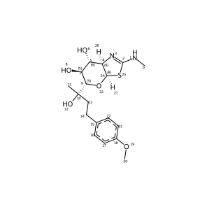 CNC1=N[C@@H]2[C@@H](O)[C@H](O)[C@@H](C(C)(O)CCc3ccc(OC)cc3)O[C@@H]2S1